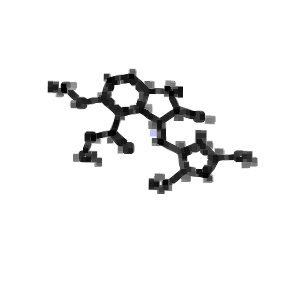 COC(=O)c1c(OC)ccc2c1/C(=C/c1[nH]c(C)cc1C)C(=O)N2